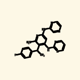 CC(c1ccc(F)cc1)c1c(Nc2ncccn2)cc(Nc2cnccn2)nc1N